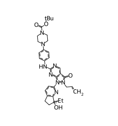 C=CCn1c(=O)c2cnc(Nc3ccc(N4CCN(C(=O)OC(C)(C)C)CC4)cc3)nc2n1-c1ccc2c(n1)[C@@](O)(CC)CC2